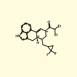 CCN(CC)C(=O)[C@@H]1C=C2c3cccc4[nH]cc(c34)C[C@H]2N(CC2CC2(F)F)C1